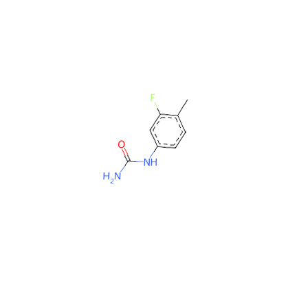 Cc1ccc(NC(N)=O)cc1F